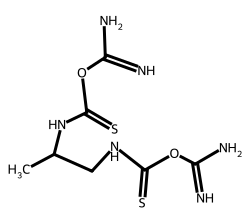 CC(CNC(=S)OC(=N)N)NC(=S)OC(=N)N